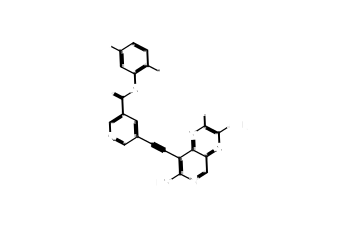 Cc1ccc(F)c(NC(=O)c2cncc(C#Cc3c(N)ncc4nc(C)c(C)nc34)c2)c1